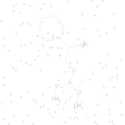 COP(OC)OCC(O)c1ccccc1